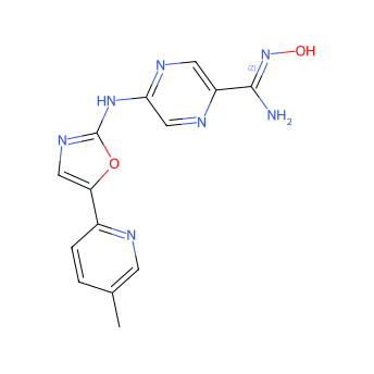 Cc1ccc(-c2cnc(Nc3cnc(/C(N)=N/O)cn3)o2)nc1